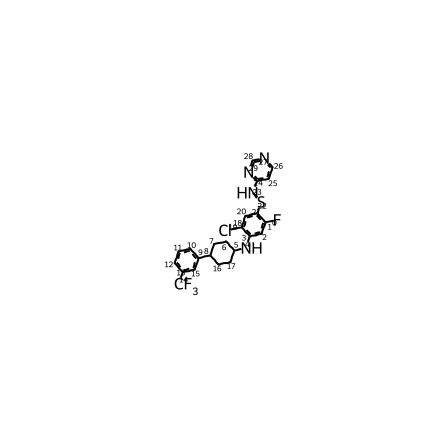 Fc1cc(NC2CCC(c3cccc(C(F)(F)F)c3)CC2)c(Cl)cc1SNc1ccncn1